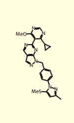 COc1ncnc(C2CC2)c1-c1ncc2cnn(Cc3ccc(-n4nc(C)cc4SC)cc3)c2n1